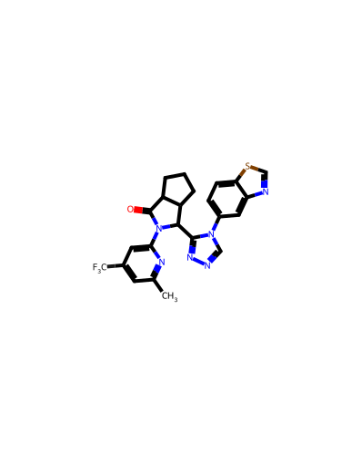 Cc1cc(C(F)(F)F)cc(N2C(=O)C3CCCC3C2c2nncn2-c2ccc3scnc3c2)n1